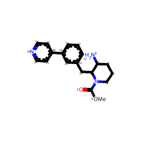 COC(=O)N1CCCC(N)C1Cc1cccc(-c2ccncc2)c1